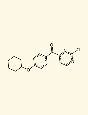 O=C(c1ccc(OC2CCCCC2)cc1)c1ccnc(Cl)n1